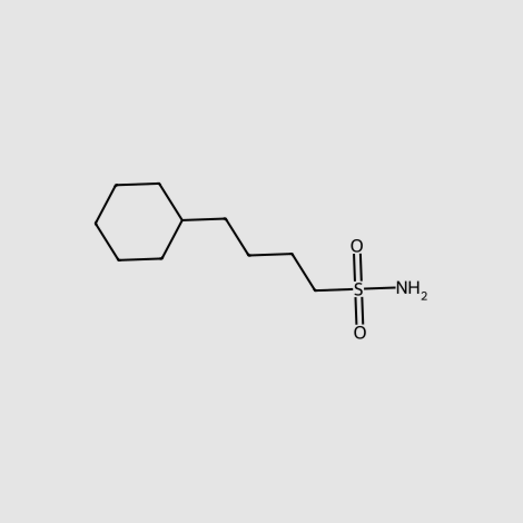 NS(=O)(=O)CCCCC1CCCCC1